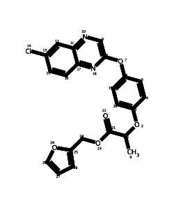 CC(Oc1ccc(Oc2cnc3cc(Cl)ccc3n2)cc1)C(=O)OCc1ccco1